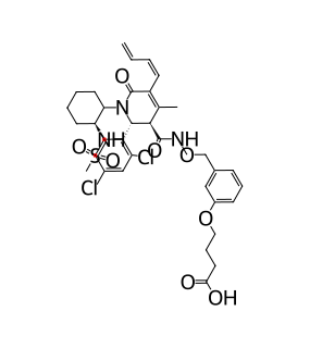 C=C/C=C\C1=C(C)[C@@H](C(=O)NOCc2cccc(OCCCC(=O)O)c2)[C@H](c2ccc(Cl)cc2Cl)N(C2CCCC[C@@H]2NS(C)(=O)=O)C1=O